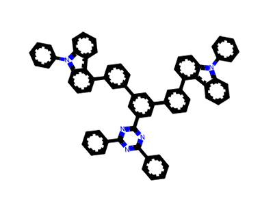 c1ccc(-c2nc(-c3ccccc3)nc(-c3cc(-c4cccc(-c5cccc6c5c5ccccc5n6-c5ccccc5)c4)cc(-c4cccc(-c5cccc6c5c5ccccc5n6-c5ccccc5)c4)c3)n2)cc1